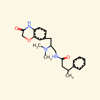 CC(CC(=O)NCC(Cc1ccc2c(c1)OCC(=O)N2)N(C)C)c1ccccc1